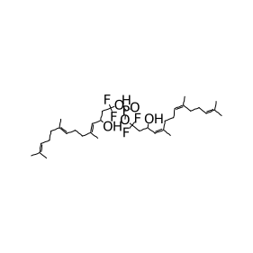 CC(C)=CCCC(C)=CCCC(C)=CC(O)CC(F)(F)O[PH](=O)OC(F)(F)CC(O)C=C(C)CCC=C(C)CCC=C(C)C